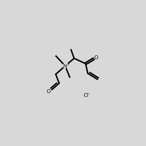 C=CC(=O)C(C)[N+](C)(C)CC=O.[Cl-]